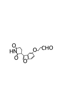 O=CCCOc1ccc2occ(C3CCC(=O)NC3=O)c2c1